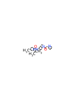 Cc1ccc(C(=O)Nc2ccc3c(c2)CCN3C(=O)Cc2ccccn2)c(C(C)C)c1